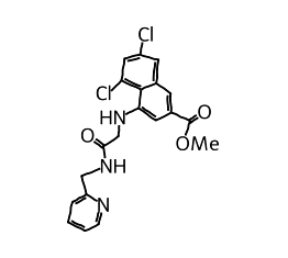 COC(=O)c1cc(NCC(=O)NCc2ccccn2)c2c(Cl)cc(Cl)cc2c1